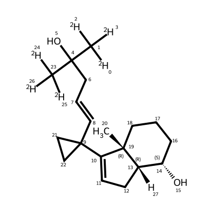 [2H]C([2H])([2H])C(O)(CC=CC1(C2=CC[C@H]3[C@@H](O)CCC[C@@]23C)CC1)C([2H])([2H])[2H]